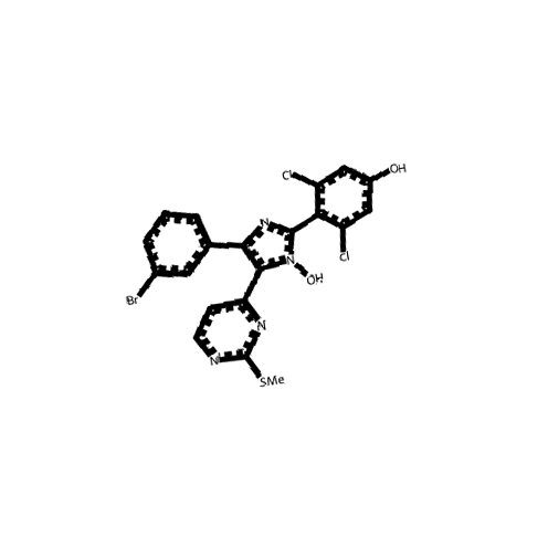 CSc1nccc(-c2c(-c3cccc(Br)c3)nc(-c3c(Cl)cc(O)cc3Cl)n2O)n1